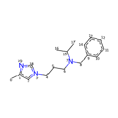 Cc1cn(CCCN(Cc2ccccc2)C(C)C)cn1